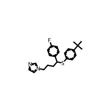 CC(C)(C)c1ccc(SC(CCCn2ccnc2)c2ccc(F)cc2)cc1